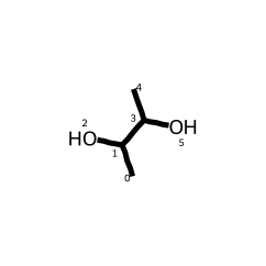 C[C](O)C(C)O